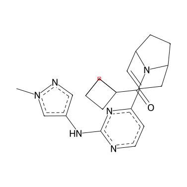 Cn1cc(Nc2nccc(C3=CC4CCC(C3)N4C(=O)C34CC(C3)C4)n2)cn1